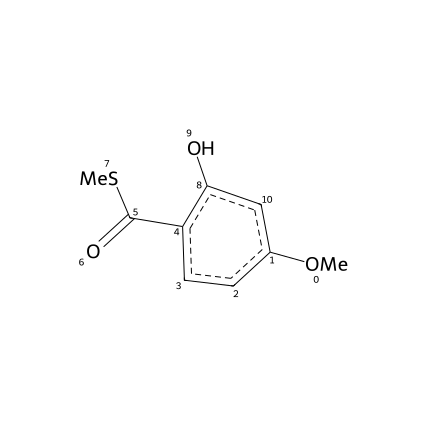 COc1ccc(C(=O)SC)c(O)c1